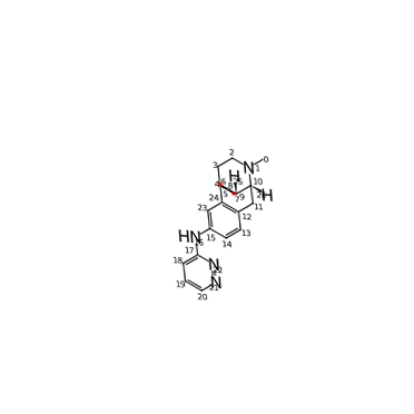 CN1CCC23CCCC[C@H]2[C@H]1Cc1ccc(Nc2cccnn2)cc13